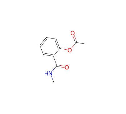 CNC(=O)c1ccccc1OC(C)=O